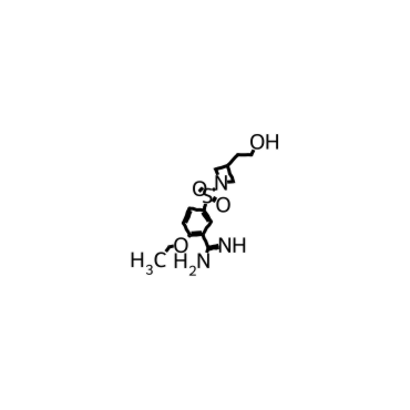 CCOc1ccc(S(=O)(=O)N2CC(CCO)C2)cc1C(=N)N